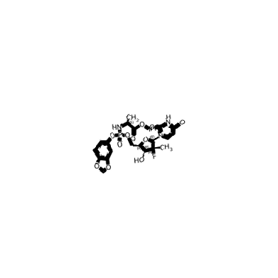 CC(C)OC(=O)[C@H](C)NP(=O)(OC[C@H]1O[C@@H](n2ccc(=O)[nH]c2=O)[C@](C)(F)[C@@H]1O)Oc1ccc2c(c1)OCO2